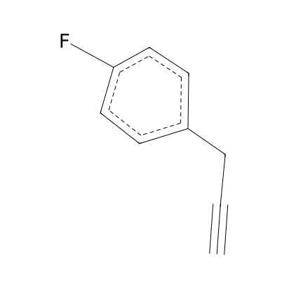 C#CCc1ccc(F)cc1